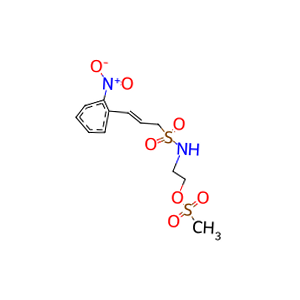 CS(=O)(=O)OCCNS(=O)(=O)CC=Cc1ccccc1[N+](=O)[O-]